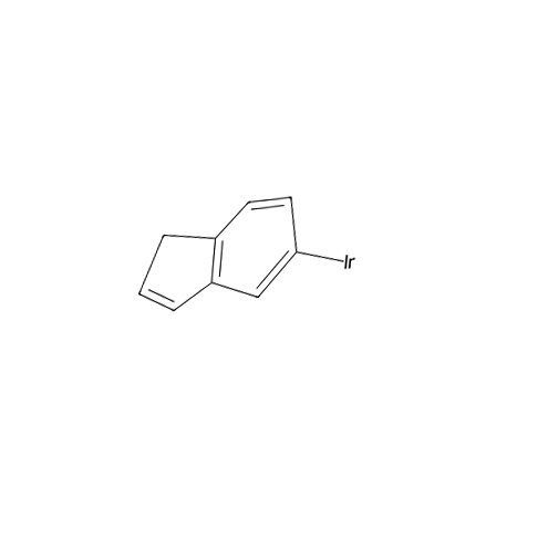 [Ir][c]1ccc2c(c1)C=CC2